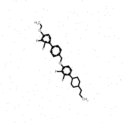 CCCC1CCC(c2ccc(OCc3ccc(-c4ccc(OCC)c(F)c4F)cc3)c(F)c2F)CC1